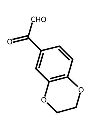 O=CC(=O)c1ccc2c(c1)OCCO2